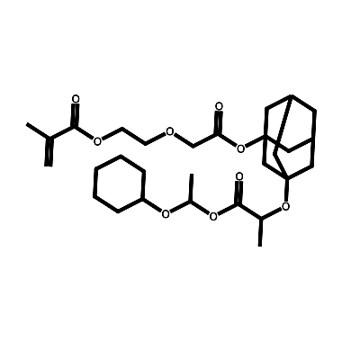 C=C(C)C(=O)OCCOCC(=O)OC12CC3CC(C1)CC(OC(C)C(=O)OC(C)OC1CCCCC1)(C3)C2